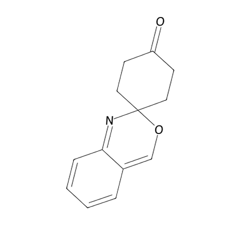 O=C1CCC2(CC1)N=c1ccccc1=CO2